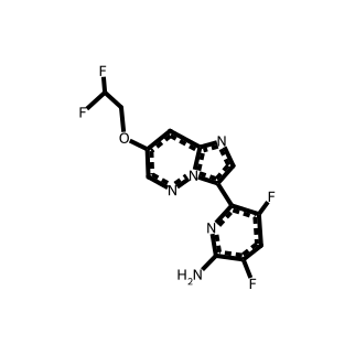 Nc1nc(-c2cnc3cc(OCC(F)F)cnn23)c(F)cc1F